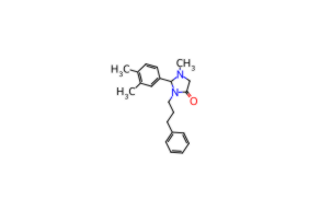 Cc1ccc(C2N(C)CC(=O)N2CCCc2ccccc2)cc1C